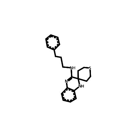 c1ccc(CCCNC2=Nc3ccccc3NC23CCSCC3)cc1